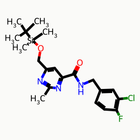 Cc1nc(CO[Si](C)(C)C(C)(C)C)cc(C(=O)NCc2ccc(F)c(Cl)c2)n1